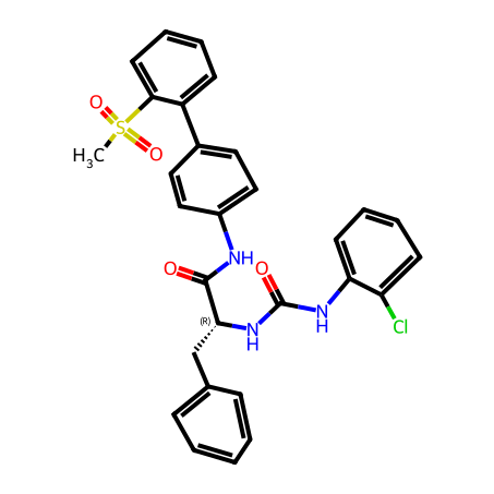 CS(=O)(=O)c1ccccc1-c1ccc(NC(=O)[C@@H](Cc2ccccc2)NC(=O)Nc2ccccc2Cl)cc1